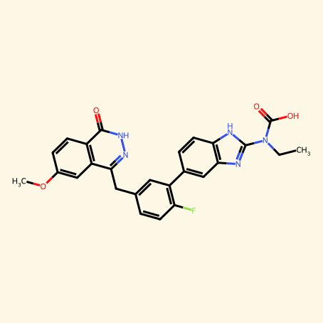 CCN(C(=O)O)c1nc2cc(-c3cc(Cc4n[nH]c(=O)c5ccc(OC)cc45)ccc3F)ccc2[nH]1